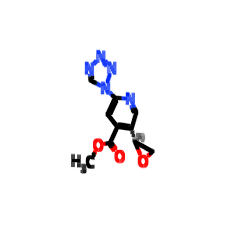 COC(=O)c1cc(-n2cnnn2)ncc1[C@@H]1CO1